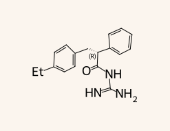 CCc1ccc(C[C@@H](C(=O)NC(=N)N)c2ccccc2)cc1